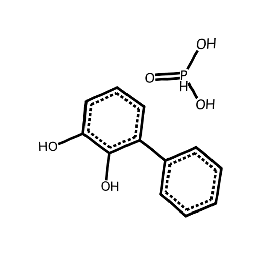 O=[PH](O)O.Oc1cccc(-c2ccccc2)c1O